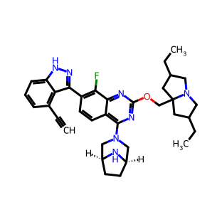 C#Cc1cccc2[nH]nc(-c3ccc4c(N5C[C@H]6CC[C@@H](C5)N6)nc(OCC56CC(CC)CN5CC(CC)C6)nc4c3F)c12